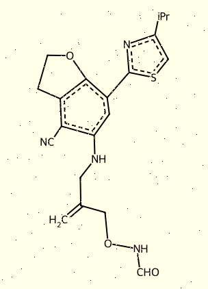 C=C(CNc1cc(-c2nc(C(C)C)cs2)c2c(c1C#N)CCO2)CONC=O